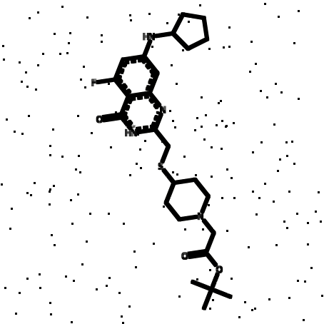 CC(C)(C)OC(=O)CN1CCC(SCc2nc3cc(NC4CCCC4)cc(F)c3c(=O)[nH]2)CC1